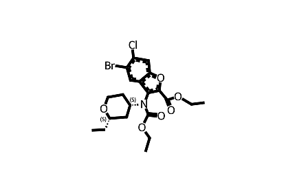 CCOC(=O)c1oc2cc(Cl)c(Br)cc2c1N(C(=O)OCC)[C@H]1CCO[C@@H](CC)C1